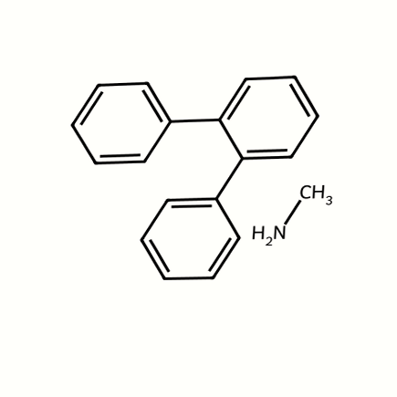 CN.c1ccc(-c2ccccc2-c2ccccc2)cc1